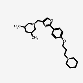 CC1CC(C)CN(Cc2coc(-c3ccc(OCCCN4CCCCC4)cc3)n2)C1